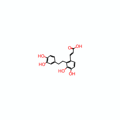 O=C(O)C=Cc1ccc(O)c(O)c1CCc1ccc(O)c(O)c1